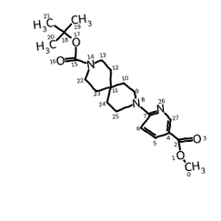 COC(=O)c1ccc(N2CCC3(CCN(C(=O)OC(C)(C)C)CC3)CC2)nc1